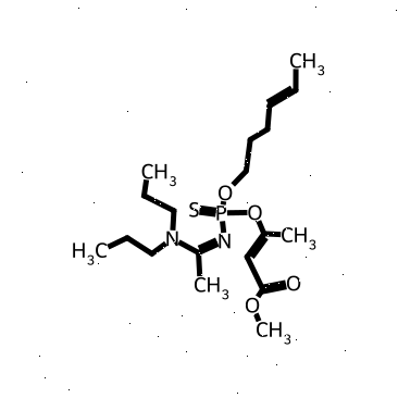 CC=CCCCOP(=S)(N=C(C)N(CCC)CCC)OC(C)=CC(=O)OC